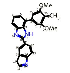 COc1cc(-c2cccc3nc(-c4ccc5c(c4)CC=N5)[nH]c23)cc(OC)c1C